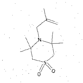 C=C(C)CN1C(C)(C)CS(=O)(=O)CC1(C)C